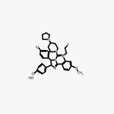 COc1ccc(C2=NC(c3ccc(Cl)cc3)C(c3ccc(Cl)cc3)N2C(=O)N2CCC(N3CCCC3)CC2)c(OCCF)c1.Cl